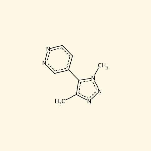 Cc1nnn(C)c1-c1ccnnc1